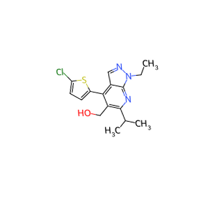 CCn1ncc2c(-c3ccc(Cl)s3)c(CO)c(C(C)C)nc21